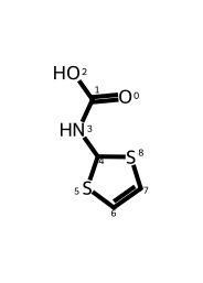 O=C(O)NC1SC=CS1